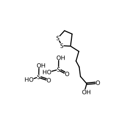 O=C(O)CCCCC1CCSS1.O=S(O)O.O=S(O)O